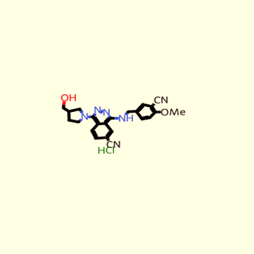 COc1ccc(CNc2nnc(N3CCC(CO)C3)c3ccc(C#N)cc23)cc1C#N.Cl